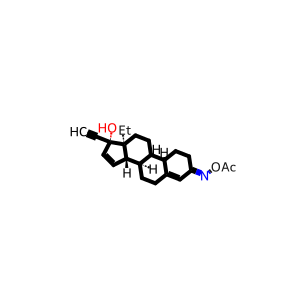 C#C[C@]1(O)C=C[C@H]2[C@@H]3CCC4=C/C(=N/OC(C)=O)CC[C@@H]4[C@H]3CC[C@@]21CC